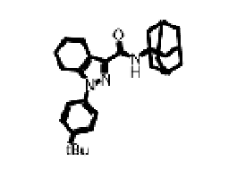 CC(C)(C)c1ccc(-n2nc(C(=O)NC34CC5CC(CC(C5)C3)C4)c3c2CCCC3)cc1